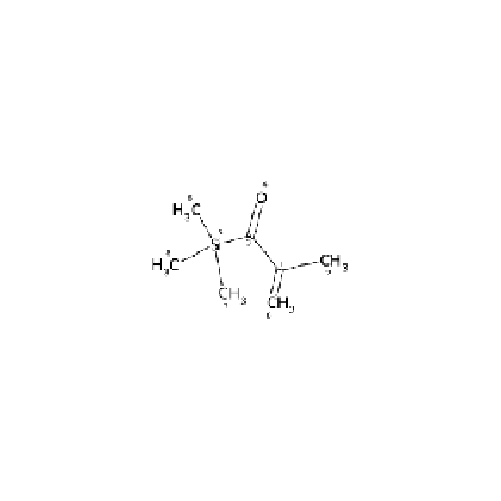 C=C(C)C(=O)[Si](C)(C)C